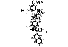 COc1ccc(CN(c2nccs2)S(=O)(=O)c2cc(Cl)c(N[C@@H](C)c3ccc4ccccc4c3)cc2F)c(C)c1